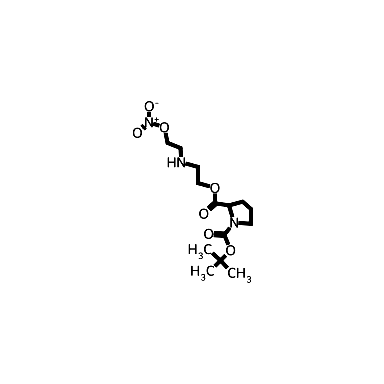 CC(C)(C)OC(=O)N1CCCC1C(=O)OCCNCCO[N+](=O)[O-]